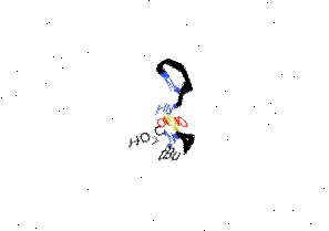 CC(C)(C)N(C(=O)O)C1(S(=O)(=O)NCc2ccccn2)CC1